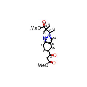 COC(=O)CC(=O)C1CCc2nn(C(C)C(C)(C)C(=O)OC)cc2C1